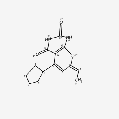 CC=C1C=C(C2CCCC2)c2c([nH]c(=O)[nH]c2=O)O1